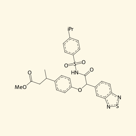 COC(=O)CC(C)c1ccc(OC(C(=O)NS(=O)(=O)c2ccc(C(C)C)cc2)c2ccc3nsnc3c2)cc1